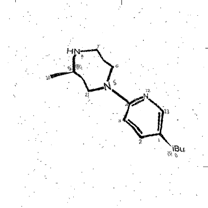 CC[C@H](C)c1ccc(N2CCN[C@H](C)C2)nc1